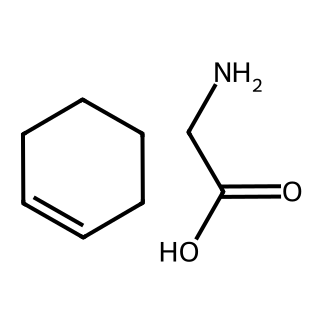 C1=CCCCC1.NCC(=O)O